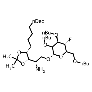 CCCCCCCCCCCCCC[C@H]1OC(C)(C)O[C@H]1[C@@H](N)CO[C@H]1OC(COCCCC)[C@@H](F)[C@H](OCCCC)C1OCCCC